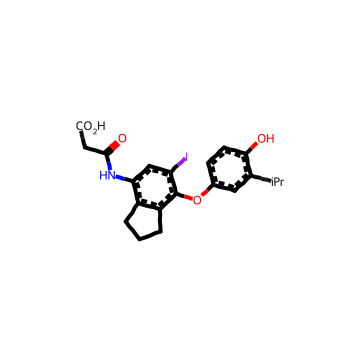 CC(C)c1cc(Oc2c(I)cc(NC(=O)CC(=O)O)c3c2CCC3)ccc1O